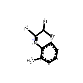 CCC(/C(=N\c1ccccc1N)C(C)C)C(C)C